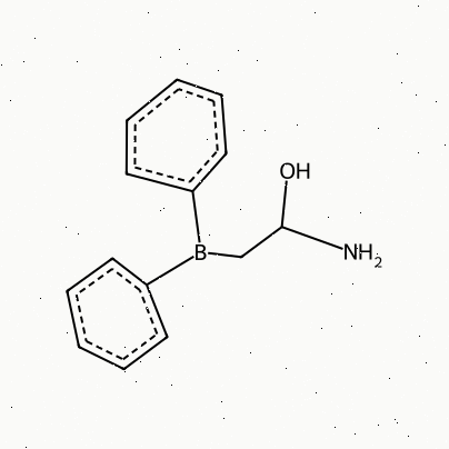 NC(O)CB(c1ccccc1)c1ccccc1